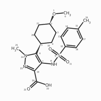 CO[C@H]1CC[C@@H](c2c(NS(=O)(=O)c3ccc(C)cc3)c(C(=O)O)nn2C)CC1